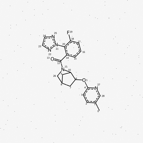 Cc1ccc(OC2CC3CC2N(C(=O)c2cccc(F)c2-n2nccn2)C3)nc1